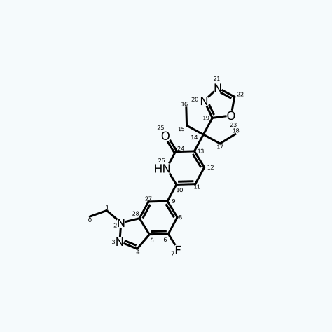 CCn1ncc2c(F)cc(-c3ccc(C(CC)(CC)c4nnco4)c(=O)[nH]3)cc21